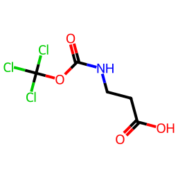 O=C(O)CCNC(=O)OC(Cl)(Cl)Cl